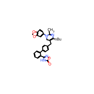 CCCCC1=C(Cc2ccc(-c3ccccc3-c3noc(=O)[nH]3)cc2)CN(c2ccc3c(c2)OCO3)C(C)=N1